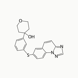 OC1(c2cccc(Sc3ccc4c(ccc5ncnn54)c3)c2)CCOCC1